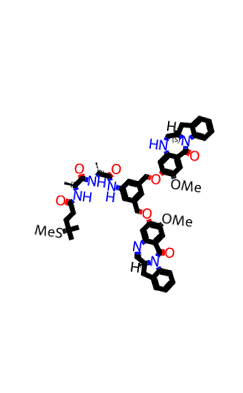 COc1cc2c(cc1OCc1cc(COc3cc4c(cc3OC)C(=O)N3c5ccccc5C[C@H]3CN4)cc(NC(=O)[C@@H](C)NC(=O)[C@H](C)NC(=O)CCC(C)(C)SC)c1)N=C[C@@H]1Cc3ccccc3N1C2=O